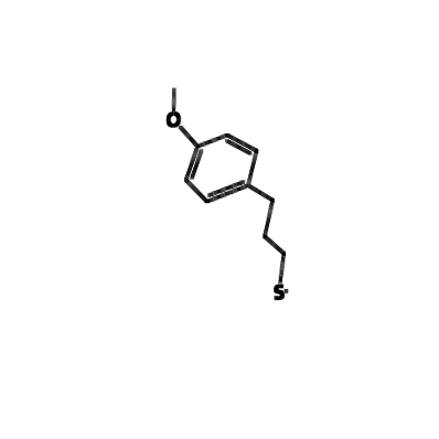 COc1ccc(CCC[S])cc1